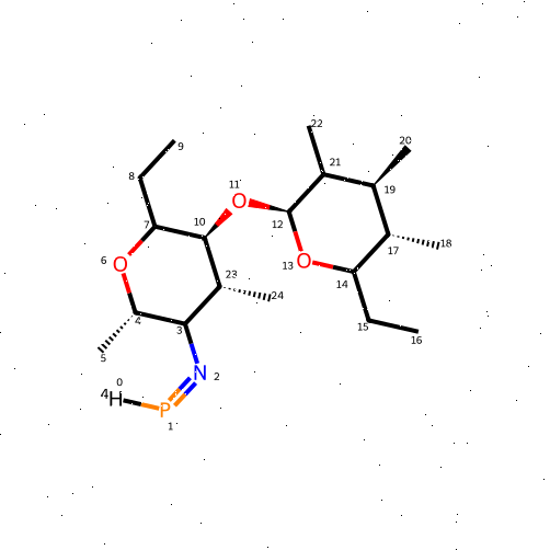 [4H]/P=N\C1[C@H](C)OC(CC)[C@@H](O[C@@H]2OC(CC)[C@@H](C)[C@H](C)C2C)[C@@H]1C